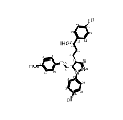 Oc1ccc(OC[C@@H]2[C@@H](CC[C@H](O)c3ccc(F)cc3)C=NN2c2ccc(F)cc2)cc1